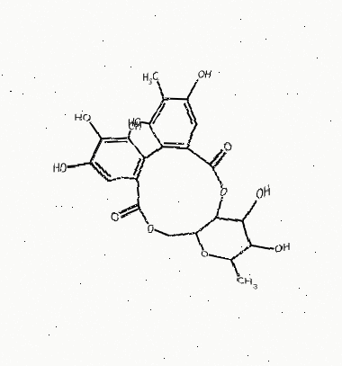 Cc1c(O)cc2c(c1O)-c1c(cc(O)c(O)c1O)C(=O)OCC1OC(C)C(O)C(O)C1OC2=O